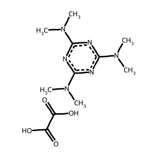 CN(C)c1nc(N(C)C)nc(N(C)C)n1.O=C(O)C(=O)O